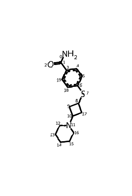 NC(=O)c1ccc(SC2CC(N3CCCCC3)C2)cc1